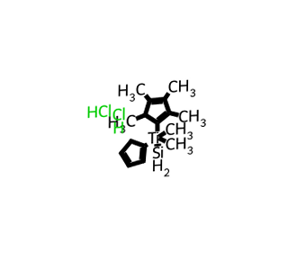 CC1=C(C)C(C)[C]([Ti]([CH3])([CH3])(=[SiH2])[C]2=CC=CC2)=C1C.Cl.Cl